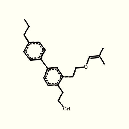 CCCc1ccc(-c2ccc(CCO)c(CCOC=C(C)C)c2)cc1